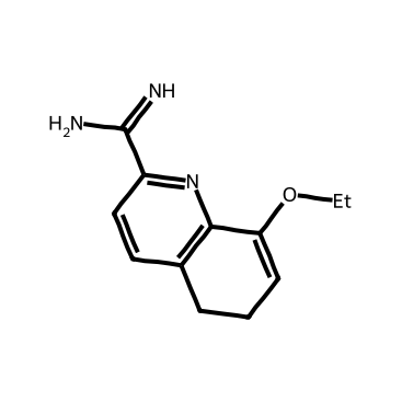 CCOC1=CCCc2ccc(C(=N)N)nc21